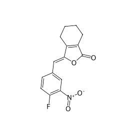 O=C1OC(=Cc2ccc(F)c([N+](=O)[O-])c2)C2=C1CCCC2